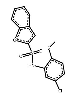 CSc1ccc(Cl)cc1NS(=O)(=O)c1cc2ccccc2o1